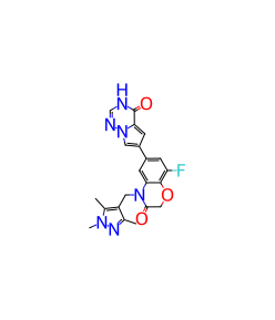 Cc1nn(C)c(C)c1CN1C(=O)COc2c(F)cc(-c3cc4c(=O)[nH]cnn4c3)cc21